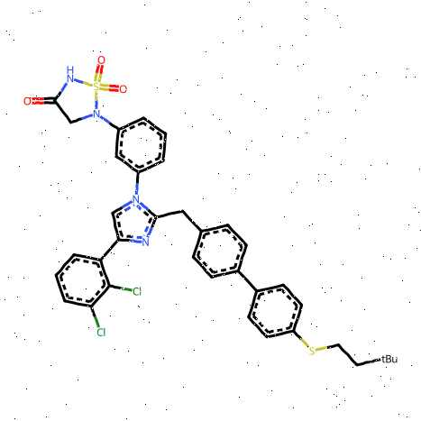 CC(C)(C)CCSc1ccc(-c2ccc(Cc3nc(-c4cccc(Cl)c4Cl)cn3-c3cccc(N4CC(=O)NS4(=O)=O)c3)cc2)cc1